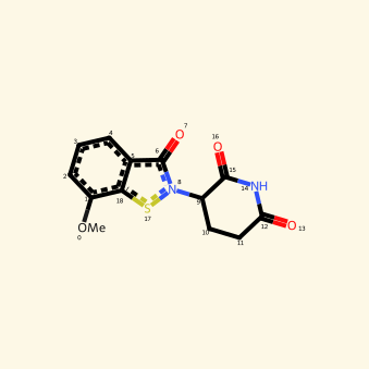 COc1cccc2c(=O)n(C3CCC(=O)NC3=O)sc12